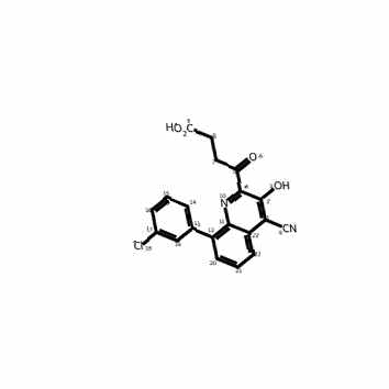 N#Cc1c(O)c(C(=O)CCC(=O)O)nc2c(-c3cccc(Cl)c3)cccc12